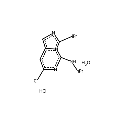 CCCNc1nc(Cl)cc2cnc(C(C)C)n12.Cl.O